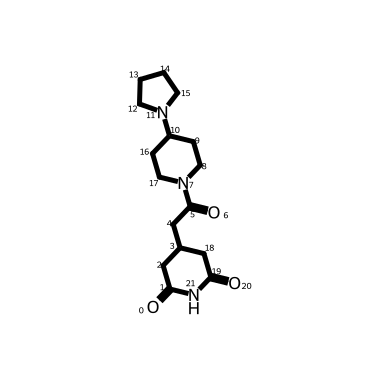 O=C1CC(CC(=O)N2CCC(N3CCCC3)CC2)CC(=O)N1